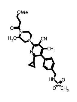 COCCC(=O)N1CCN(c2nc(C3CC3)c(-c3ccc(CNS(C)(=O)=O)cc3)c(C)c2C#N)CC1C